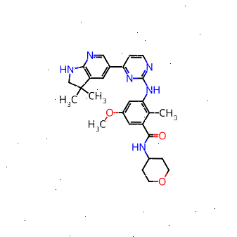 COc1cc(Nc2nccc(-c3cnc4c(c3)C(C)(C)CN4)n2)c(C)c(C(=O)NC2CCOCC2)c1